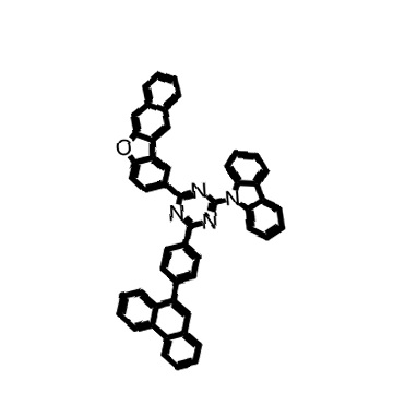 c1ccc2cc3c(cc2c1)oc1ccc(-c2nc(-c4ccc(-c5cc6ccccc6c6ccccc56)cc4)nc(-n4c5ccccc5c5ccccc54)n2)cc13